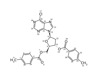 Cc1ccc(C(=O)OC[C@H]2O[C@@H](n3cnc4c(Cl)ncnc43)C[C@@H]2OC(=O)c2ccc(C)cc2)cc1